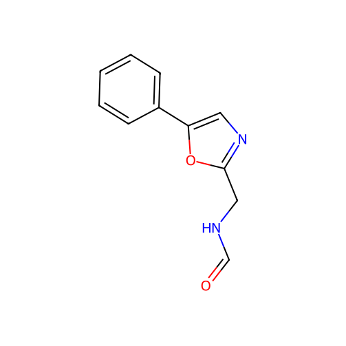 O=CNCc1ncc(-c2ccccc2)o1